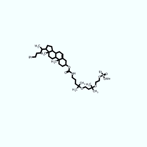 CCP(=O)(OC)OCCOC(C)(C)CCOC(C)(C)CCCNC(=O)OC1CCC2(C)C(=CCC3C2CCC2(C)C(C(C)CCCC(C)C)CCC32)C1